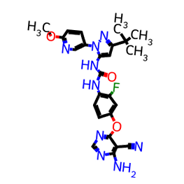 COc1ccc(-n2nc(C(C)(C)C)cc2NC(=O)Nc2ccc(Oc3ncnc(N)c3C#N)cc2F)cn1